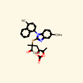 COC(=O)C(C)(Cc1oc(=O)oc1C)Sc1nc2cc(OC)ccc2n1-c1ccc(C#N)c2ccccc12